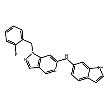 Fc1ccccc1Cn1ncc2cnc(Nc3ccc4cc[nH]c4c3)cc21